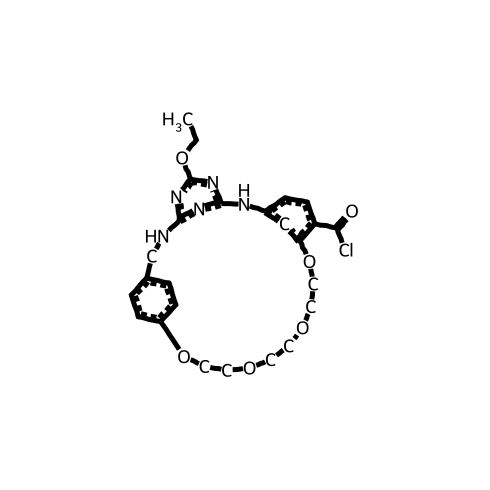 CCOc1nc2nc(n1)Nc1ccc(C(=O)Cl)c(c1)OCCOCCOCCOc1ccc(cc1)CN2